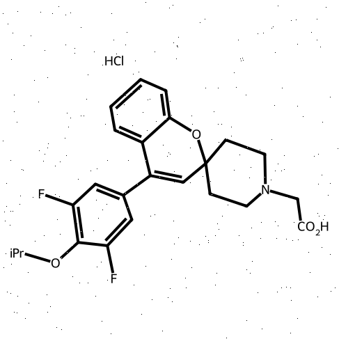 CC(C)Oc1c(F)cc(C2=CC3(CCN(CC(=O)O)CC3)Oc3ccccc32)cc1F.Cl